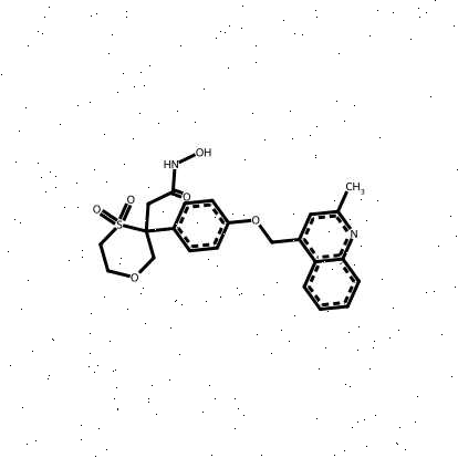 Cc1cc(COc2ccc(C3(CC(=O)NO)COCCS3(=O)=O)cc2)c2ccccc2n1